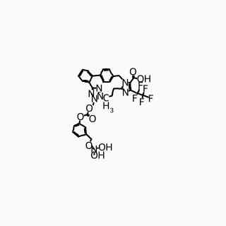 CCCc1nc(C(F)(F)C(F)(F)F)c(C(=O)O)n1Cc1ccc(-c2ccccc2-c2nnn(COC(=O)Oc3cccc(CON(O)O)c3)n2)cc1